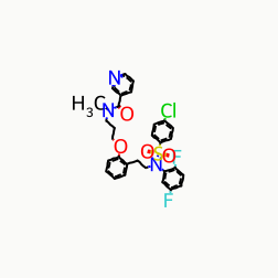 CN(CCCOc1ccccc1CCN(c1cc(F)ccc1F)S(=O)(=O)c1ccc(Cl)cc1)C(=O)c1cccnc1